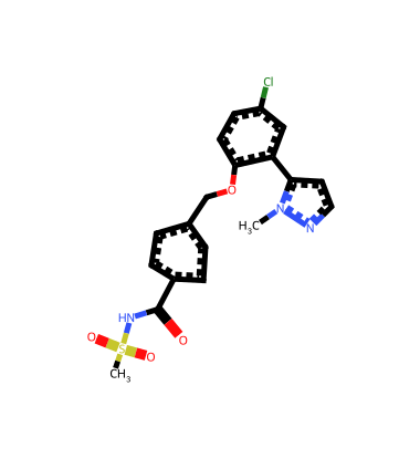 Cn1nccc1-c1cc(Cl)ccc1OCc1ccc(C(=O)NS(C)(=O)=O)cc1